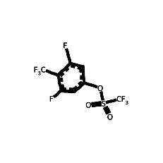 O=S(=O)(Oc1cc(F)c(C(F)(F)F)c(F)c1)C(F)(F)F